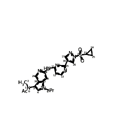 CC(=O)N(C)c1cn(C(C)C)c2cc(Nc3ccnc(-c4cnn(S(=O)(=O)C5CC5)c4)n3)ncc12